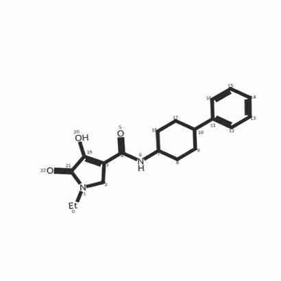 CCN1CC(C(=O)NC2CCC(c3ccccc3)CC2)=C(O)C1=O